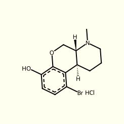 CN1CCC[C@H]2c3c(Br)ccc(O)c3OC[C@@H]21.Cl